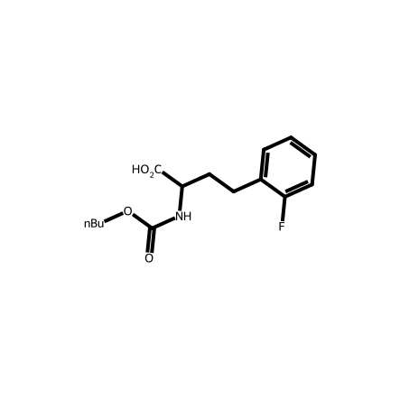 CCCCOC(=O)NC(CCc1ccccc1F)C(=O)O